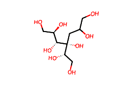 OCC(O)C[C@](O)([C@H](O)[C@H](O)CO)[C@@H](O)CO